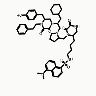 CN(C)c1cccc2c(S(=O)(=O)NCCCCC3CNC(=O)C(=O)N3CC3CCCN3CC(CC3CCCCC3)N3CC(Cc4ccc(O)cc4)N(CCc4ccccc4)C(=O)C3=O)cccc12